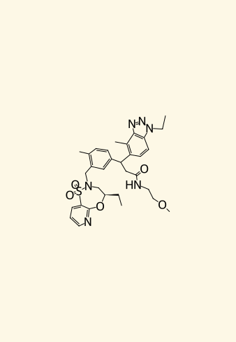 CC[C@@H]1CN(Cc2cc(C(CC(=O)NCCOC)c3ccc4c(nnn4CC)c3C)ccc2C)S(=O)(=O)c2cccnc2O1